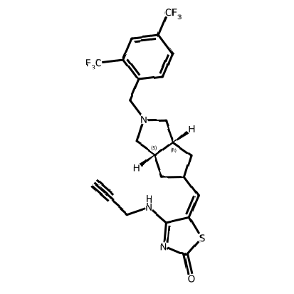 C#CCNC1=NC(=O)SC1=CC1C[C@@H]2CN(Cc3ccc(C(F)(F)F)cc3C(F)(F)F)C[C@@H]2C1